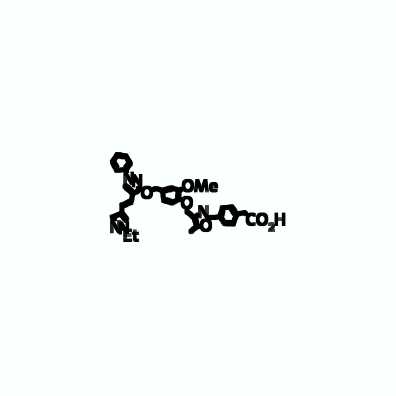 CCn1cc(C=Cc2cn(-c3ccccc3)nc2OCc2ccc(OCc3nc(-c4ccc(CC(=O)O)cc4)oc3C)c(OC)c2)cn1